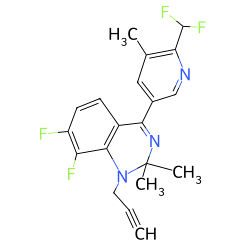 C#CCN1c2c(ccc(F)c2F)C(c2cnc(C(F)F)c(C)c2)=NC1(C)C